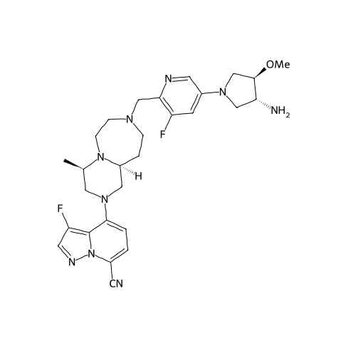 CO[C@@H]1CN(c2cnc(CN3CC[C@H]4CN(c5ccc(C#N)n6ncc(F)c56)C[C@@H](C)N4CC3)c(F)c2)C[C@H]1N